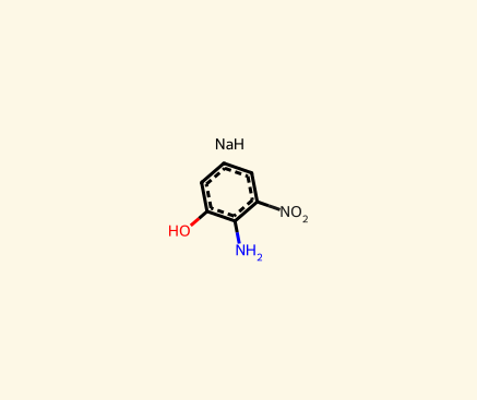 Nc1c(O)cccc1[N+](=O)[O-].[NaH]